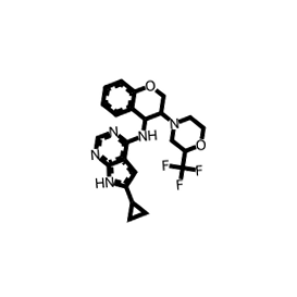 FC(F)(F)C1CN(C2COc3ccccc3C2Nc2ncnc3[nH]c(C4CC4)cc23)CCO1